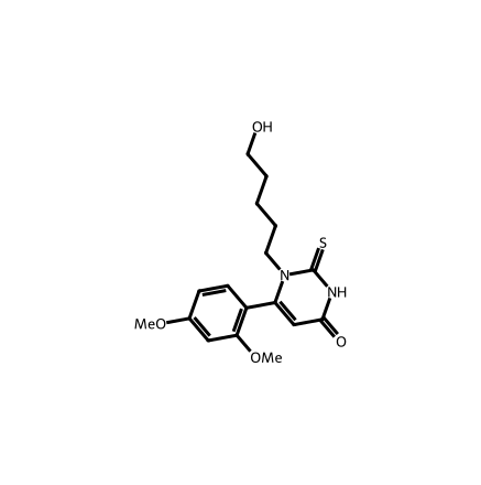 COc1ccc(-c2cc(=O)[nH]c(=S)n2CCCCCO)c(OC)c1